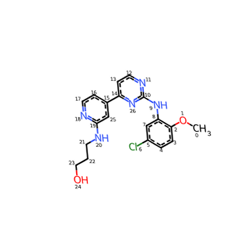 COc1ccc(Cl)cc1Nc1nccc(-c2ccnc(NCCCO)c2)n1